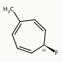 CC1=CC=C[C@H](F)C=C1